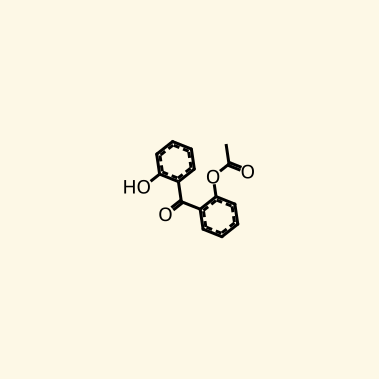 CC(=O)Oc1ccccc1C(=O)c1ccccc1O